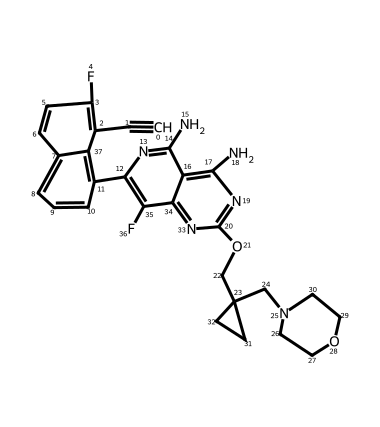 C#Cc1c(F)ccc2cccc(-c3nc(N)c4c(N)nc(OCC5(CN6CCOCC6)CC5)nc4c3F)c12